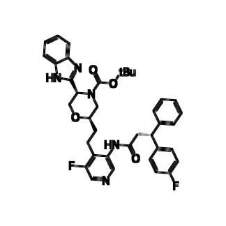 CC(C)(C)OC(=O)N1C[C@@H](CCc2c(F)cncc2NC(=O)C[C@H](c2ccccc2)c2ccc(F)cc2)OC[C@H]1c1nc2ccccc2[nH]1